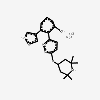 CC1(C)CC(Oc2ccc(-c3c(O)cccc3-c3cn[nH]c3)nn2)CC(C)(C)N1.Cl.O